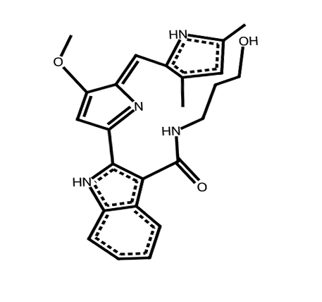 COC1=CC(c2[nH]c3ccccc3c2C(=O)NCCCO)=NC1=Cc1[nH]c(C)cc1C